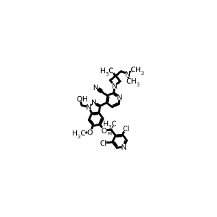 COc1cc2c(cc1O[C@H](C)c1c(Cl)cncc1Cl)c(-c1ccnc(N3CC(C)(CN(C)C)C3)c1C#N)nn2CO